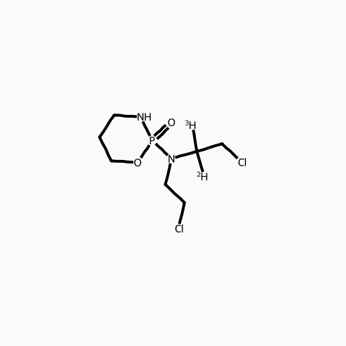 [2H]C([3H])(CCl)N(CCCl)P1(=O)NCCCO1